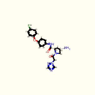 N[C@H]1C[C@@H](C(=O)Nc2ccc(Oc3ccc(F)cc3)cc2)N(C(=O)Cn2cncn2)C1